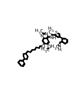 CNCc1ccccc1-c1csc(C(C)Nc2nc(C)nc3cc(OCCCCCCCC4CCC(c5ccccc5)CC4)c(OC)cc23)c1